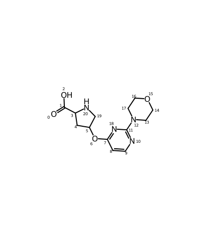 O=C(O)C1CC(Oc2ccnc(N3CCOCC3)n2)CN1